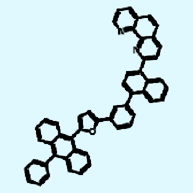 c1ccc(-c2c3ccccc3c(-c3ccc(-c4cccc(-c5ccc(-c6ccc7ccc8cccnc8c7n6)c6ccccc56)c4)o3)c3ccccc23)cc1